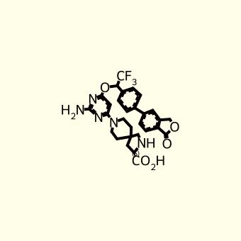 Nc1nc(OC(c2ccc(-c3ccc4c(c3)COC4=O)cc2)C(F)(F)F)cc(N2CCC3(CC2)CN[C@H](C(=O)O)C3)n1